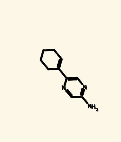 Nc1cnc(C2=CCCCC2)cn1